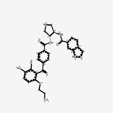 CCCOc1ccc(O)c(F)c1C(=O)c1ccc(C(=O)N[C@@H]2CNC[C@H]2NC(=O)c2ccc3cn[nH]c3c2)cc1